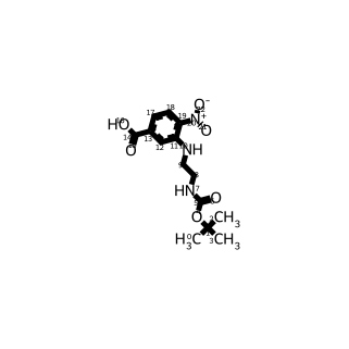 CC(C)(C)OC(=O)NCCNc1cc(C(=O)O)ccc1[N+](=O)[O-]